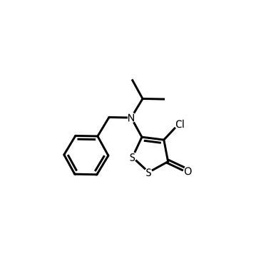 CC(C)N(Cc1ccccc1)c1ssc(=O)c1Cl